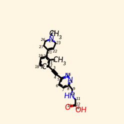 Cc1c(C#Cc2ccc(CNCC(=O)O)nn2)cccc1C1=CCN(C)CC1